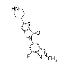 Cn1cc2cc(N3Cc4cc(C5CCNCC5)sc4C3=O)cc(F)c2n1